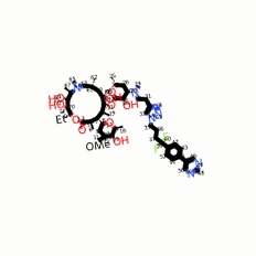 CC[C@H]1OC(=O)[C@H](C)[C@@H](C2C[C@@](C)(OC)[C@@H](O)[C@H](C)O2)[C@H](C)[C@@H](O[C@@H]2O[C@H](C)C[C@H](N(C)CCc3cn(CCCC(F)(F)c4ccc(-c5cncnc5)cc4)nn3)[C@H]2O)[C@](C)(O)C[C@@H](C)CN(C)[C@H](C)[C@@H](O)[C@]1(C)O